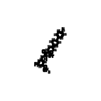 CC(C)[C@]1(C(=O)NCc2cc(F)cc(OC(F)(F)F)c2)CC[C@@H](N2CCC(c3ccc(F)cc3)CC2)CO1